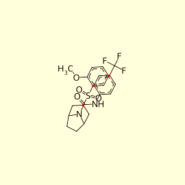 COc1ccccc1S(=O)(=O)C1CC2CCC(C1)N2C(=O)Nc1ccc(C(F)(F)F)cc1